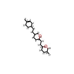 CC1=CCC(CCC2CCC(CCC3CCC(C)CO3)OC2)CC1